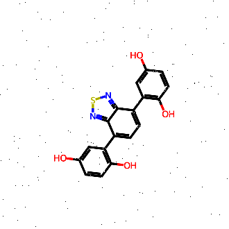 Oc1ccc(O)c(-c2ccc(-c3cc(O)ccc3O)c3nsnc23)c1